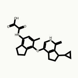 C=C1NC=C(Oc2c(C)cc(NC(=O)C(=O)O)c3c2CCC3)C2=C1C(C1CC1)CC2